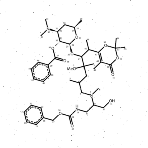 COC(C)(CC(C)CN(C)C(CO)CNC(=O)OCc1ccccc1)C(O[C@@H]1O[C@H](C)C[C@H](N(C)C)[C@H]1OC(=O)c1ccccc1)C(C)C1=C(C)C(=O)OC(C)(C)O1